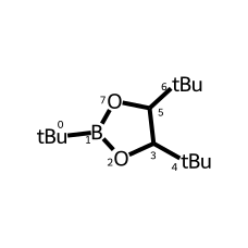 CC(C)(C)B1OC(C(C)(C)C)C(C(C)(C)C)O1